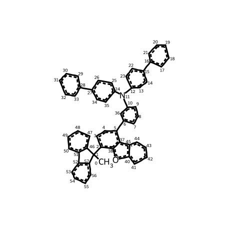 CC1(c2ccc(-c3cccc(N(c4ccc(-c5ccccc5)cc4)c4ccc(-c5ccccc5)cc4)c3)c3c2oc2ccccc23)c2ccccc2-c2ccccc21